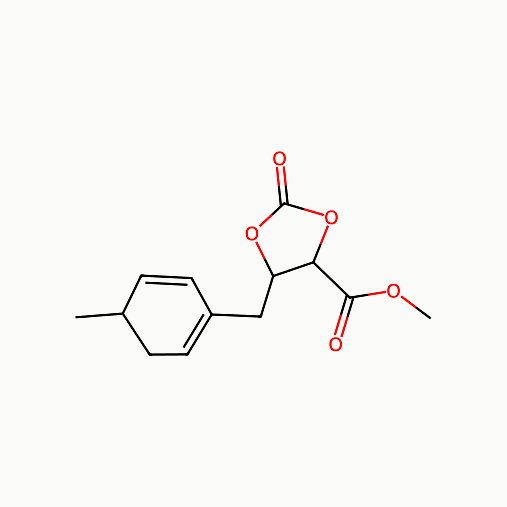 COC(=O)C1OC(=O)OC1CC1=CCC(C)C=C1